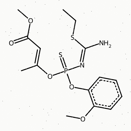 CCSC(N)=NP(=S)(OC(C)=CC(=O)OC)Oc1ccccc1OC